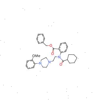 COc1ccccc1N1CCN(CCN(C(=O)C2CCCCC2)c2ccccc2C(=O)OCc2ccccc2)CC1